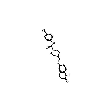 O=C1CCc2cc(OCC3CCN(C(=O)Nc4ccc(Cl)cc4)CC3)ccc2N1